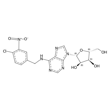 O=[N+]([O-])c1cc(CNc2ncnc3c2ncn3[C@@H]2O[C@H](CO)[C@@H](O)[C@H]2O)ccc1Cl